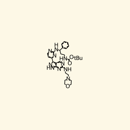 CC(C)(C)OC(=O)NCCC(Nc1nccc(-c2n[nH]c3nc(NCCN4CCOCC4)ncc23)n1)c1ccccc1